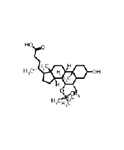 CC[C@@H]1C2C[C@H](O)CCC2(C)[C@H]2CCC3(C)C([C@H](C)CCC(=O)O)CC[C@H]3[C@@H]2[C@@H]1O[Si](C)(C)C